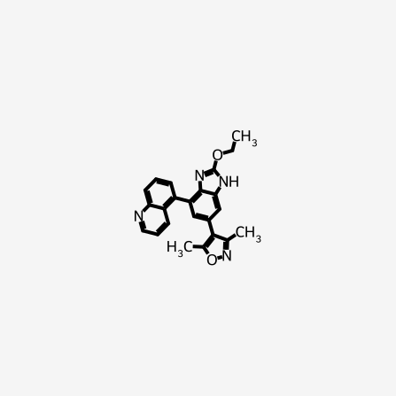 CCOc1nc2c(-c3cccc4ncccc34)cc(-c3c(C)noc3C)cc2[nH]1